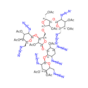 CC(=O)OC[C@H]1O[C@@H](OC[C@H]2O[C@@H](O[C@@H]3C(OC(C)=O)[C@H](N=[N+]=[N-])CC(N=[N+]=[N-])[C@H]3O[C@H]3OC(CN=[N+]=[N-])[C@@H](OC(C)=O)[C@H](OC(C)=O)C3N=[N+]=[N-])C(OC(C)=O)[C@H]2O[C@H]2O[C@@H](CN=[N+]=[N-])[C@@H](OC(C)=O)C(OC(C)=O)C2N=[N+]=[N-])C(OC(C)=O)[C@H]1O[C@H]1O[C@@H](CN=[N+]=[N-])[C@@H](OC(C)=O)C(OC(C)=O)C1N=[N+]=[N-]